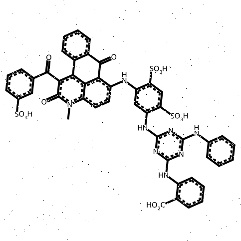 Cn1c(=O)c(C(=O)c2cccc(S(=O)(=O)O)c2)c2c3c(c(Nc4cc(Nc5nc(Nc6ccccc6)nc(Nc6ccccc6C(=O)O)n5)c(S(=O)(=O)O)cc4S(=O)(=O)O)ccc31)C(=O)c1ccccc1-2